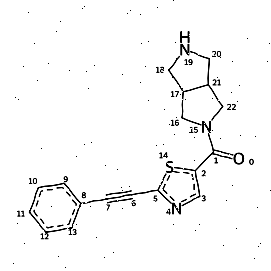 O=C(c1cnc(C#Cc2ccccc2)s1)N1CC2CNCC2C1